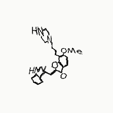 COc1ccc2c(c1C=CCCN1CCNCC1)OC(=Cc1n[nH]c3ccccc13)C2=O